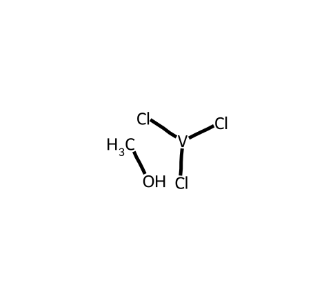 CO.[Cl][V]([Cl])[Cl]